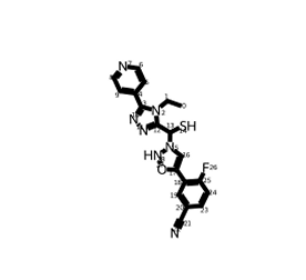 CCn1c(-c2ccncc2)nnc1C(S)N1C=C(c2cc(C#N)ccc2F)ON1